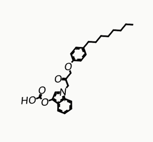 CCCCCCCCc1ccc(OCC(=O)Cn2cc(OC(=O)O)c3ccccc32)cc1